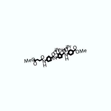 COC(=O)CCC(=O)Nc1ccc(C(=O)Nc2ccc(C(=O)Nc3ccc(C(=O)OC)cc3OC(C)C)c(O)c2OC(C)C)cc1